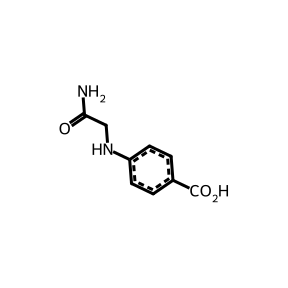 NC(=O)CNc1ccc(C(=O)O)cc1